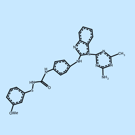 COc1cccc(SNC(=O)Nc2ccc(Nc3nc4ccccc4n3-c3nc(C)nc(N)n3)cc2)c1